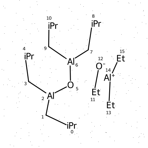 CC(C)[CH2][Al]([CH2]C(C)C)[O][Al]([CH2]C(C)C)[CH2]C(C)C.CC[O-].C[CH2][Al+][CH2]C